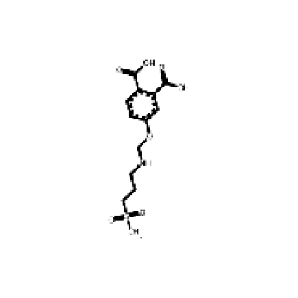 CS(=O)(=O)CCCNCOc1ccc(C(=O)O)c(C(=O)O)c1